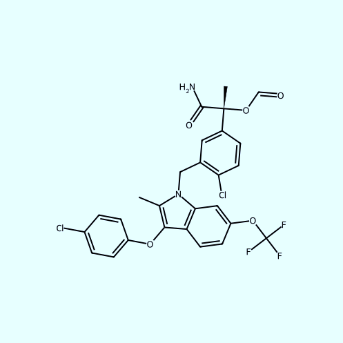 Cc1c(Oc2ccc(Cl)cc2)c2ccc(OC(F)(F)F)cc2n1Cc1cc([C@@](C)(OC=O)C(N)=O)ccc1Cl